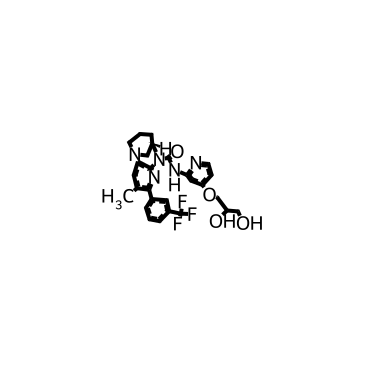 Cc1cc2c(nc1-c1cccc(C(F)(F)F)c1)N(C(=O)Nc1cc(OCC(O)CO)ccn1)[C@H]1CCCN2C1